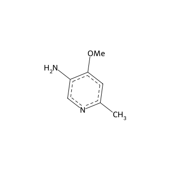 COc1cc(C)ncc1N